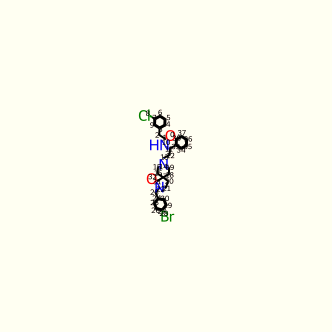 O=C(Cc1cccc(Cl)c1)NC(CCN1CCC2(CC1)CCN(Cc1ccc(Br)cc1)C2=O)c1ccccc1